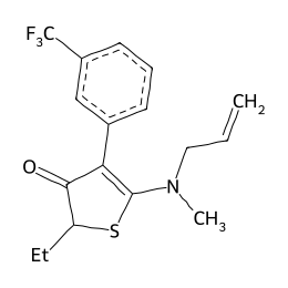 C=CCN(C)C1=C(c2cccc(C(F)(F)F)c2)C(=O)C(CC)S1